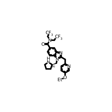 CCOc1ccc(Cc2nc3cc(C(=O)N(CC(F)(F)F)CC(F)(F)F)ccc3n2C[C@H]2CCCN2)nc1